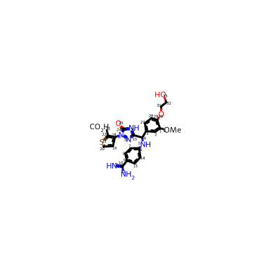 COc1cc(C(Nc2ccc(C(=N)N)cc2)c2nn(-c3ccsc3C(=O)O)c(=O)[nH]2)ccc1OCCO